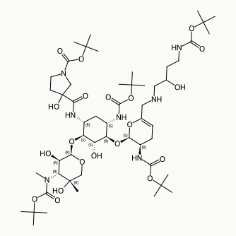 CN(C(=O)OC(C)(C)C)[C@@H]1[C@@H](O)[C@@H](O[C@@H]2[C@@H](O)[C@H](O[C@H]3OC(CNCC(O)CCNC(=O)OC(C)(C)C)=CC[C@H]3NC(=O)OC(C)(C)C)[C@@H](NC(=O)OC(C)(C)C)C[C@H]2NC(=O)C2(O)CCN(C(=O)OC(C)(C)C)C2)OC[C@]1(C)O